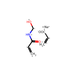 C=CC(=O)NCO.C=CC(=O)[O-].[Na+]